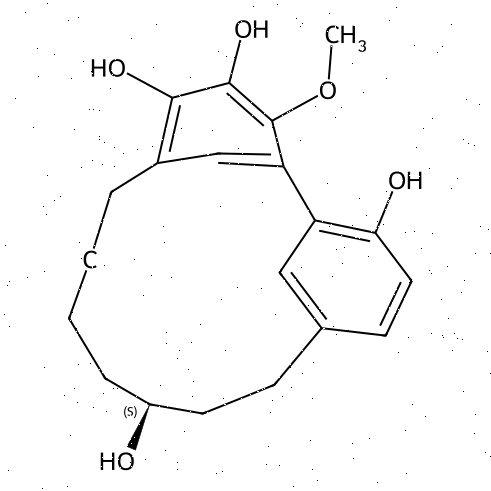 COc1c2cc(c(O)c1O)CCCC[C@H](O)CCc1ccc(O)c-2c1